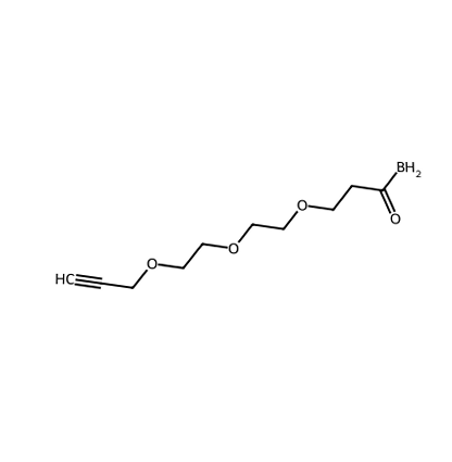 BC(=O)CCOCCOCCOCC#C